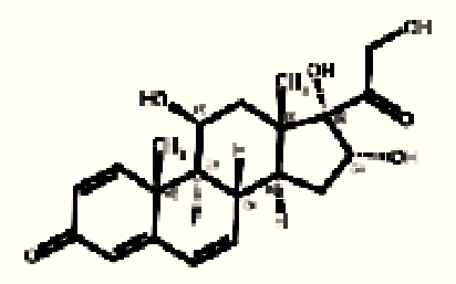 C[C@]12C=CC(=O)C=C1C=C[C@H]1[C@@H]3C[C@@H](O)[C@](O)(C(=O)CO)[C@@]3(C)C[C@H](O)[C@@]12F